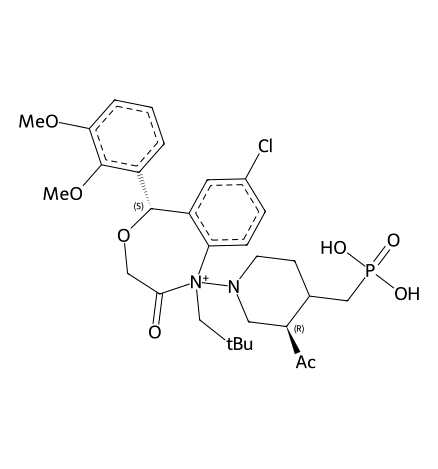 COc1cccc([C@H]2OCC(=O)[N+](CC(C)(C)C)(N3CCC(CP(=O)(O)O)[C@@H](C(C)=O)C3)c3ccc(Cl)cc32)c1OC